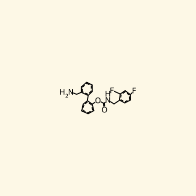 NCc1ccccc1-c1ccccc1OC(=O)NCc1ccc(F)cc1F